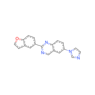 c1cn(-c2ccc3nc(-c4ccc5occc5c4)ncc3c2)cn1